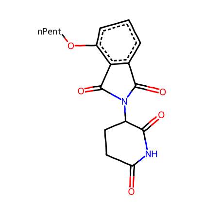 CCCCCOc1cccc2c1C(=O)N(C1CCC(=O)NC1=O)C2=O